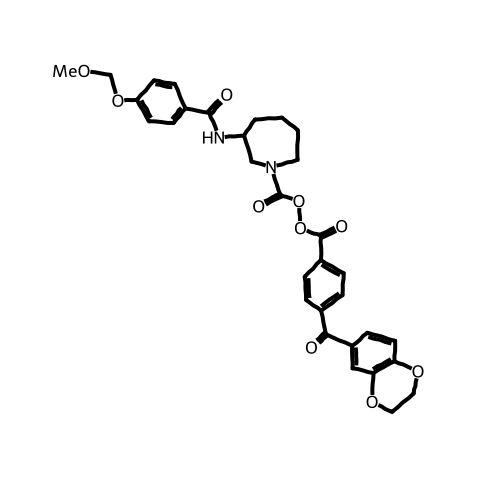 COCOc1ccc(C(=O)NC2CCCCN(C(=O)OOC(=O)c3ccc(C(=O)c4ccc5c(c4)OCCO5)cc3)C2)cc1